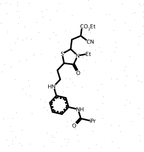 CCOC(=O)C(C#N)CC1SC(CCNc2cccc(NC(=O)C(C)C)c2)C(=O)N1CC